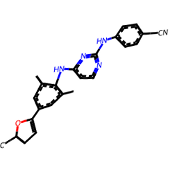 Cc1cc(C2=CCC(C#N)O2)cc(C)c1Nc1ccnc(Nc2ccc(C#N)cc2)n1